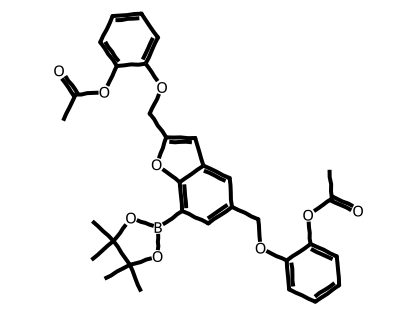 CC(=O)Oc1ccccc1OCc1cc(B2OC(C)(C)C(C)(C)O2)c2oc(COc3ccccc3OC(C)=O)cc2c1